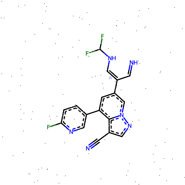 N#Cc1cnn2cc(/C(C=N)=C/NC(F)F)cc(-c3ccc(F)nc3)c12